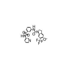 COc1cc2c(cc1C(F)(F)F)N(C(=O)Nc1cccc(S(=O)(=O)Nc3cccnc3)c1)CC2